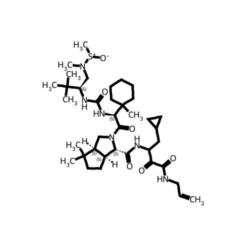 C=CCNC(=O)C(=O)C(CC1CC1)NC(=O)[C@@H]1[C@H]2CCC(C)(C)[C@H]2CN1C(=O)[C@@H](NC(=O)N[C@H](CN(C)[S+](C)[O-])C(C)(C)C)C1(C)CCCCC1